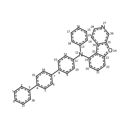 c1ccc(-c2ccc(-c3ccc(N(c4ccccc4)c4cccc5oc6cnccc6c45)cc3)cc2)cc1